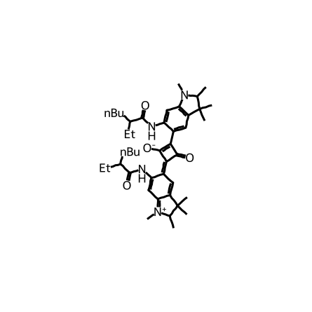 CCCCC(CC)C(=O)Nc1cc2c(cc1C1=C([O-])/C(=c3/cc4c(cc3NC(=O)C(CC)CCCC)=[N+](C)C(C)C4(C)C)C1=O)C(C)(C)C(C)N2C